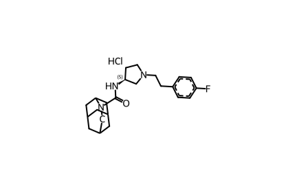 Cl.O=C(N[C@H]1CCN(CCc2ccc(F)cc2)C1)N1CC2CC3CC(C2)CC1C3